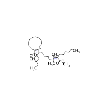 CCCCCC/C(C(=O)OC)=C(\C)C(C)CCCCC(CCCCC)/C1=C(\C(=O)OC)CCCCCCCCCC1